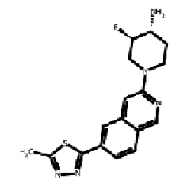 Cc1nnc(-c2ccc3cnc(N4CC[C@@H](N)[C@H](F)C4)cc3c2)s1